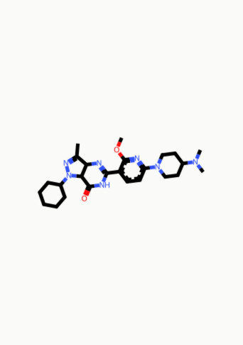 COc1nc(N2CCC(N(C)C)CC2)ccc1C1=NC2C(C)=NN(C3CCCCC3)C2C(=O)N1